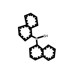 SN(c1cccc2ccccc12)c1cccc2ccccc12